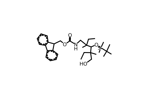 CCC(C)(CO)C(O[Si](C)(C)C(C)(C)C)C(C)(CC)CNC(=O)OCC1c2ccccc2-c2ccccc21